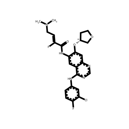 CN(C)CC=C(F)C(=O)Nc1cc2c(Nc3ccc(F)c(Cl)c3)ncnc2cc1O[C@@H]1CCOC1